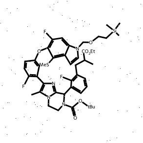 CCOC(=O)C(C)Cc1cccc(C2c3nc(-c4cc(Oc5c(F)cc6c(ccn6COCC[Si](C)(C)C)c5SC)ccc4F)c(C)n3CCN2C(=O)OC(C)(C)C)c1F